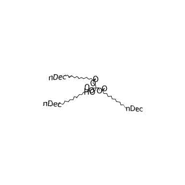 CCCCCCCCCCCCCCCCCCCCCC(=O)OCC(CO)(COC(=O)CCCCCCCCCCCCCCCCCCCCC)COC(=O)CCCCCCCCCCCCCCCCCCCCC